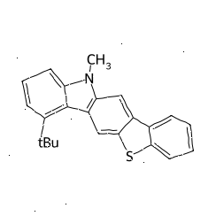 Cn1c2cc3c(cc2c2c(C(C)(C)C)cccc21)sc1ccccc13